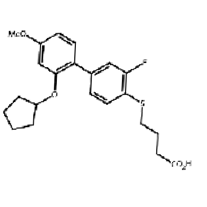 COc1ccc(-c2ccc(SCCCC(=O)O)c(F)c2)c(OC2CCCC2)c1